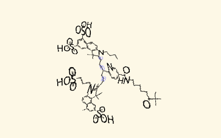 CCCCN1/C(=C/C=C(/C=C/C2=[N+](CCCS(=O)(=O)O)c3ccc4c(C)cc(S(=O)(=O)O)cc4c3C2(C)C)c2ccc(C(=O)NCCCCCC(=O)C(C)(C)C)cn2)C(C)(C)c2c1ccc1c(S(=O)(=O)O)cc(S(=O)(=O)O)cc21